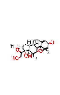 C[C@@H]1C[C@H]2[C@@H]3CCC4=CC(=O)C=C[C@]4(C)C34OC4C[C@]2(C)[C@@]1(O)C(=O)CO